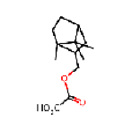 CC1(C)C2CCC1(C)C(COC(=O)C(=O)O)C2